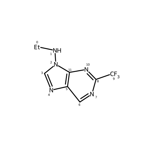 CCNn1cnc2cnc(C(F)(F)F)nc21